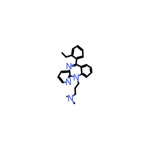 CCc1ccccc1C1=Nc2cccnc2N(CCCN(C)C)c2ccccc21